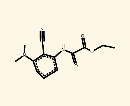 CCOC(=O)C(=O)Nc1cccc(N(C)C)c1C#N